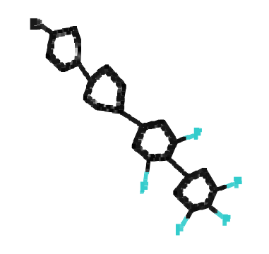 CCc1ccc(-c2ccc(-c3cc(F)c(-c4cc(F)c(F)c(F)c4)c(F)c3)cc2)cc1